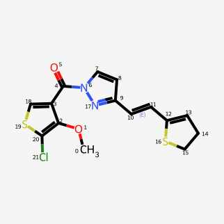 COc1c(C(=O)n2ccc(/C=C/C3=CCCS3)n2)csc1Cl